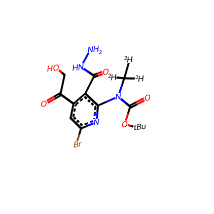 [2H]C([2H])([2H])N(C(=O)OC(C)(C)C)c1nc(Br)cc(C(=O)CO)c1C(=O)NN